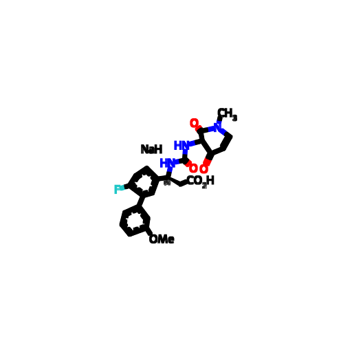 COc1cccc(-c2cc([C@H](CC(=O)O)NC(=O)NC3C(=O)C=CN(C)C3=O)ccc2F)c1.[NaH]